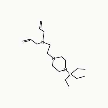 C=CCN(CC=C)CCN1CCN([Si](CC)(CC)CC)CC1